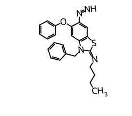 CCCC/N=c1/sc2cc(N=N)c(Oc3ccccc3)cc2n1Cc1ccccc1